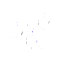 C/C=N\c1c(NC)c2ccc(C(F)(F)F)nc2n(-c2cccc(F)c2Cl)c1=O